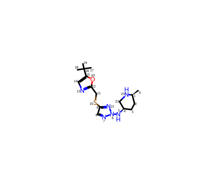 C[C@H]1CC[C@@H](Nn2ncc(SCc3ncc(C(C)(C)C)o3)n2)CN1